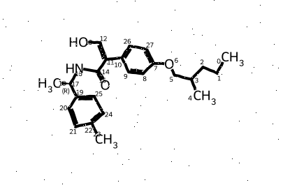 CCCC(C)COc1ccc(C(=CO)C(=O)N[C@H](C)c2ccc(C)cc2)cc1